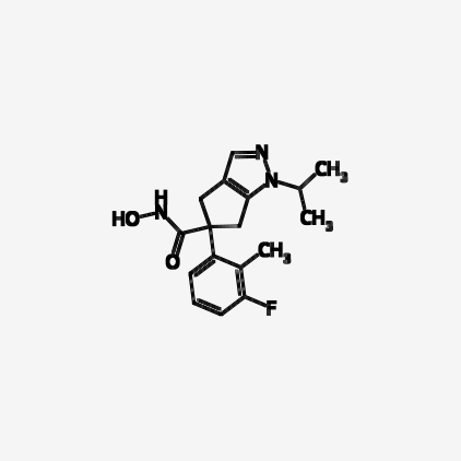 Cc1c(F)cccc1C1(C(=O)NO)Cc2cnn(C(C)C)c2C1